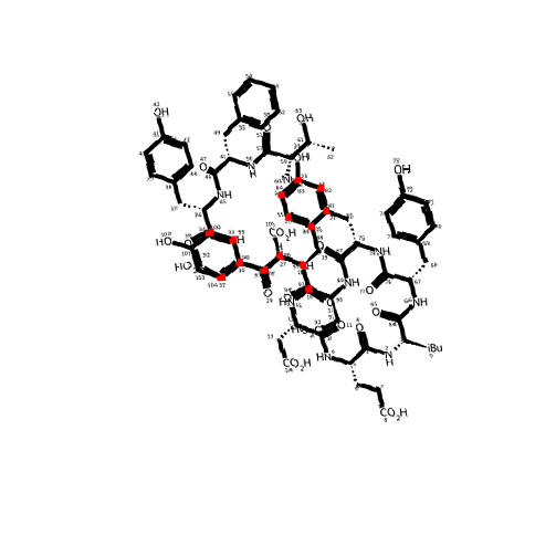 CC[C@H](C)[C@H](NC(=O)[C@H](CCC(=O)O)NC(=O)[C@H](CC(=O)O)NC(=O)[C@H](Cc1ccc(O)cc1)NC(=O)[C@H](CC(=O)O)NC(=O)[C@H](Cc1ccc(O)cc1)NC(=O)[C@H](Cc1ccccc1)NC(=O)[C@@H](N)[C@@H](C)O)C(=O)N[C@@H](Cc1ccc(O)cc1)C(=O)N[C@@H](Cc1ccccc1)C(=O)N[C@@H](CC(=O)O)C(=O)N[C@@H](Cc1ccc(O)cc1)C(=O)O